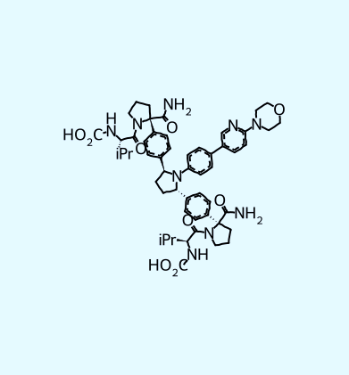 CC(C)[C@H](NC(=O)O)C(=O)N1CCC[C@@]1(C(N)=O)c1ccc([C@@H]2CC[C@@H](c3ccc([C@]4(C(N)=O)CCCN4C(=O)[C@@H](NC(=O)O)C(C)C)cc3)N2c2ccc(-c3ccc(N4CCOCC4)nc3)cc2)cc1